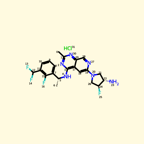 Cc1nc(N[C@H](C)c2cccc(C(F)F)c2F)c2cc(N3C[C@H](N)[C@@H](F)C3)ncc2n1.Cl